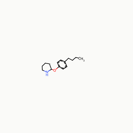 CCCCc1ccc(OC2[CH]CCCN2)cc1